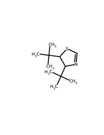 CC(C)(C)C1N=CSC1C(C)(C)C